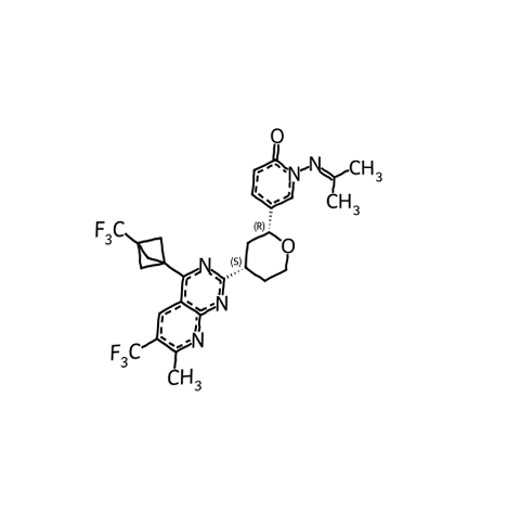 CC(C)=Nn1cc([C@H]2C[C@@H](c3nc(C45CC(C(F)(F)F)(C4)C5)c4cc(C(F)(F)F)c(C)nc4n3)CCO2)ccc1=O